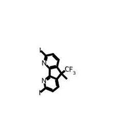 CC1(C(F)(F)F)c2ccc(I)nc2-c2nc(I)ccc21